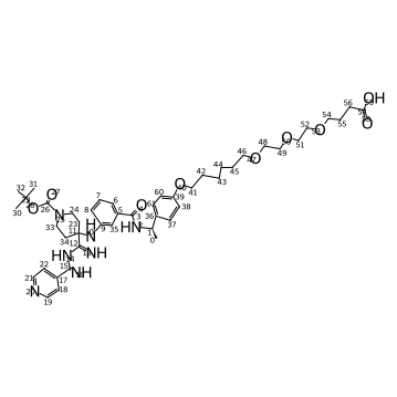 C[C@@H](NC(=O)c1cccc(NC2(C(=N)NC(=N)c3ccncc3)CCN(C(=O)OC(C)(C)C)CC2)c1)c1ccc(OCCCCCCOCCOCCOCCCC(=O)O)cc1